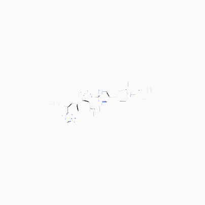 Cc1cc(-c2[nH]nc(-c3ncc(C4CCN(C(C)C(C)C)CC4)cn3)c2C(C)C)cn2ncnc12